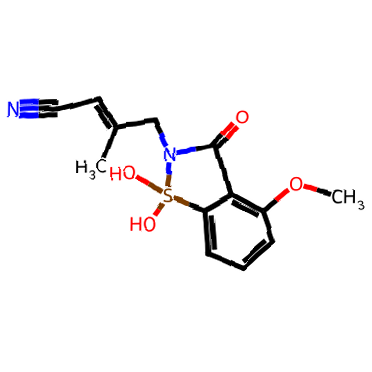 COc1cccc2c1C(=O)N(C/C(C)=C/C#N)S2(O)O